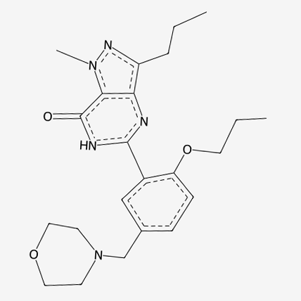 CCCOc1ccc(CN2CCOCC2)cc1-c1nc2c(CCC)nn(C)c2c(=O)[nH]1